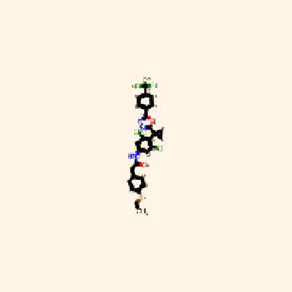 CCSc1ccc(CC(=O)Nc2cc(Cl)c(C3(c4nnc(-c5ccc(C(F)(F)F)cc5)o4)CC3)c(Cl)c2)cc1